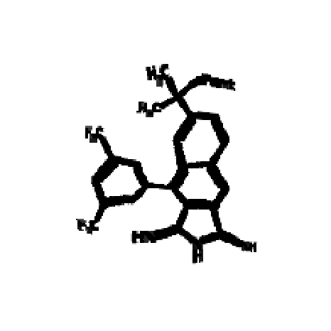 CCCCCC(C)(C)c1ccc2cc3c(c(-c4cc(C(F)(F)F)cc(C(F)(F)F)c4)c2c1)C(=N)NC3=N